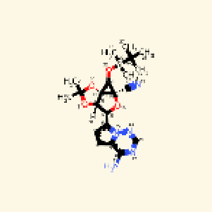 CC1(C)O[C@H]2[C@H](c3ccc4c(N)ncnn34)O[C@]3(C#N)C(O[Si](C)(C)C(C)(C)C)[C@]23O1